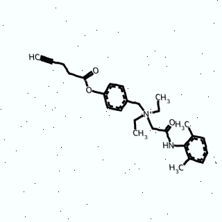 C#CCCC(=O)Oc1ccc(C[N+](CC)(CC)CC(=O)Nc2c(C)cccc2C)cc1